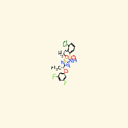 Cc1c(Cl)cccc1S(=O)(=O)Nc1nc(C(C)Oc2cc(F)cc(F)c2)ns1